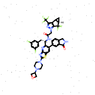 O=C(Cn1nc(C(F)(F)F)c2c1C(F)(F)[C@@H]1CC21)N[C@@H](Cc1cc(F)cc(F)c1)c1nc2nc(N3CCN(C4COC4)CC3)sc2cc1-c1ccc2c(c1)C(=O)NC2